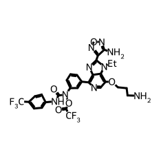 CCn1c(-c2nonc2N)nc2c(-c3cccc(N(OC(=O)C(F)(F)F)C(=O)Nc4ccc(C(F)(F)F)cc4)c3)ncc(OCCCN)c21